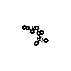 CN1C(c2ccc(C3=CC=CC4Oc5c(-c6ccc7ccccc7c6)cccc5C34)c3ccccc23)=NC(c2ccccc2)=NC1c1ccccc1